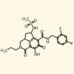 CCCN1CC2CC(NS(C)(=O)=O)c3c(C(=O)NCc4ccc(F)cc4F)c(=O)c(O)c(n32)C1=O